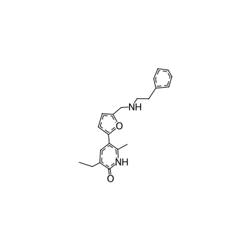 CCc1cc(-c2ccc(CNCCc3ccccc3)o2)c(C)[nH]c1=O